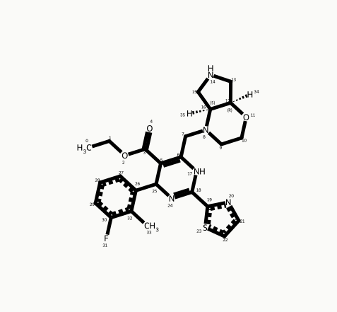 CCOC(=O)C1=C(CN2CCO[C@@H]3CNC[C@@H]32)NC(c2nccs2)=NC1c1cccc(F)c1C